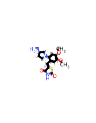 COc1cc(/C=C2\SC(=O)NC2=O)c(N2CCC(N)C2)cc1OC